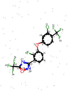 Fc1c(Oc2ccc(C(F)(F)F)c(Cl)c2)[c]ccc1-c1noc(C(F)(F)F)n1